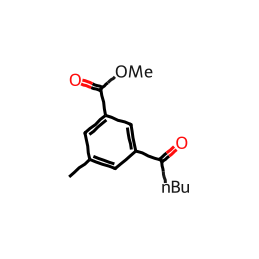 CCCCC(=O)c1cc(C)cc(C(=O)OC)c1